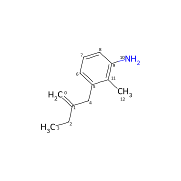 C=C(CC)Cc1cccc(N)c1C